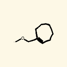 [CH2]OCC1=CCCCCC1